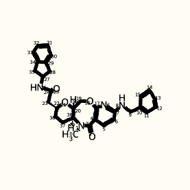 CN1C(=O)c2ccc(NCc3ccccc3)nc2OC[C@@H]2O[C@H](CC(=O)NC3Cc4ccccc4C3)CC[C@@H]21